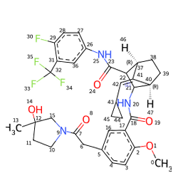 COc1ccc(CC(=O)N2CCC(C)(O)C2)cc1C(=O)NC1C(C(=O)Nc2ccc(F)c(C(F)(F)F)c2)[C@H]2CC[C@@H]1/C2=C\C1CC1